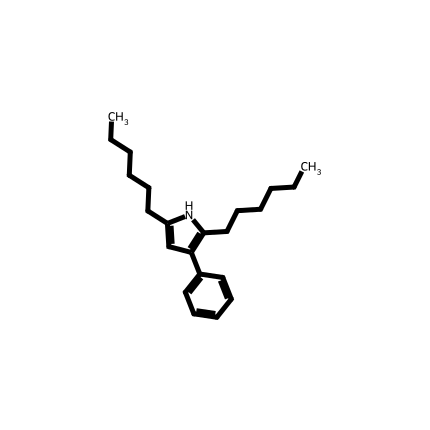 CCCCCCc1cc(-c2ccccc2)c(CCCCCC)[nH]1